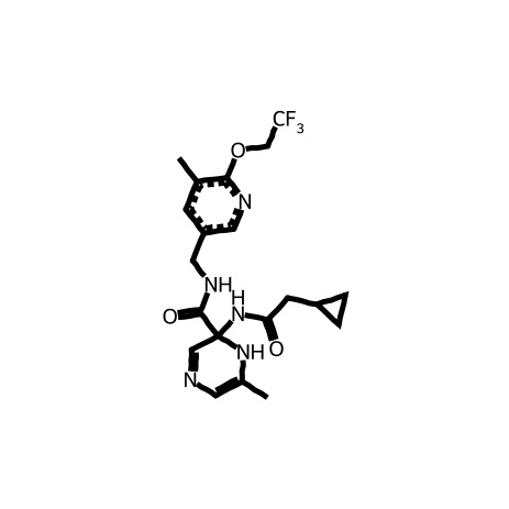 CC1=CN=CC(NC(=O)CC2CC2)(C(=O)NCc2cnc(OCC(F)(F)F)c(C)c2)N1